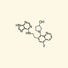 OC1CCN(c2c(CCNc3ncnc4[nH]cnc34)cc(F)c3cccnc23)C1